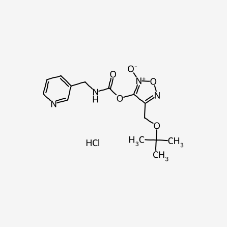 CC(C)(C)OCc1no[n+]([O-])c1OC(=O)NCc1cccnc1.Cl